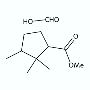 COC(=O)C1CCC(C)C1(C)C.O=CO